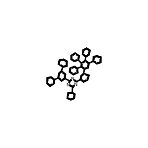 c1ccc(-c2cc(-c3ccccc3)cc(-c3nc(-c4ccccc4)nc(-c4cccc(-c5cc(-c6ccccc6)c(-c6ccccc6)c(-c6ccccc6)c5-c5ccccc5)c4)n3)c2)cc1